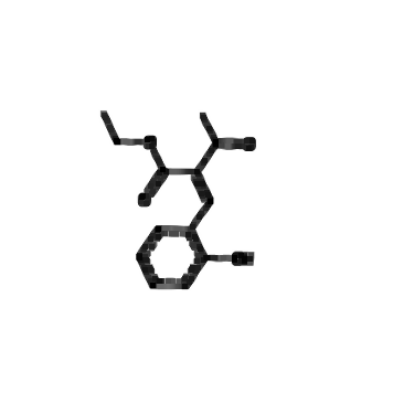 CCOC(=O)/C(=C\c1ccccc1O)C(C)=O